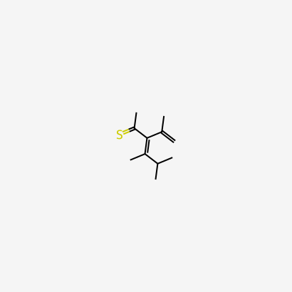 C=C(C)/C(C(C)=S)=C(/C)C(C)C